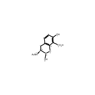 CC(=O)N[C@H]1Cc2ccc(O)c(C(=O)O)c2OB1O